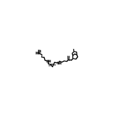 CCNCCCCNC[C@@H]1C[C@@H]1CNCCCCNCC1CCC2CC(C)CC1C2